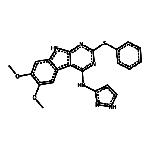 COc1cc2[nH]c3nc(Sc4ccccc4)nc(Nc4cc[nH]n4)c3c2cc1OC